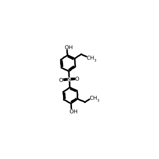 CCc1cc(S(=O)(=O)c2ccc(O)c(CC)c2)ccc1O